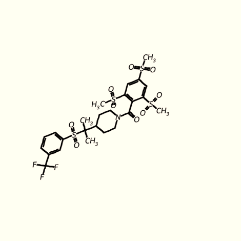 CC(C)(C1CCN(C(=O)c2c(S(C)(=O)=O)cc(S(C)(=O)=O)cc2S(C)(=O)=O)CC1)S(=O)(=O)c1cccc(C(F)(F)F)c1